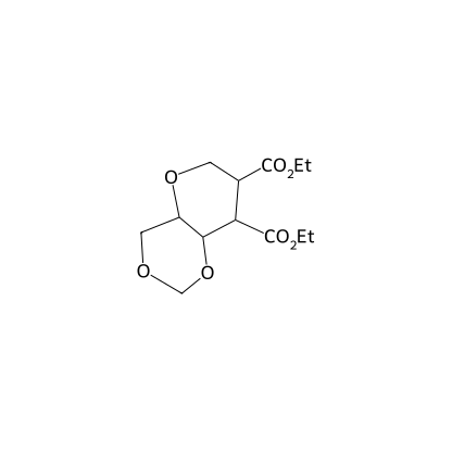 CCOC(=O)C1COC2COCOC2C1C(=O)OCC